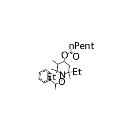 CCCCCC(=O)OC1CC(C)(CC)N(OC(C)c2ccccc2)C(C)(CC)C1C